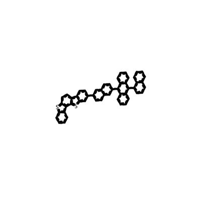 c1ccc2c(-c3c4ccccc4c(-c4ccc5cc(-c6ccc7c(c6)sc6c7ccc7sc8ccccc8c76)ccc5c4)c4ccccc34)cccc2c1